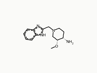 CO[C@@H]1CN(Cc2nc3ccccc3[nH]2)CC[C@@H]1N